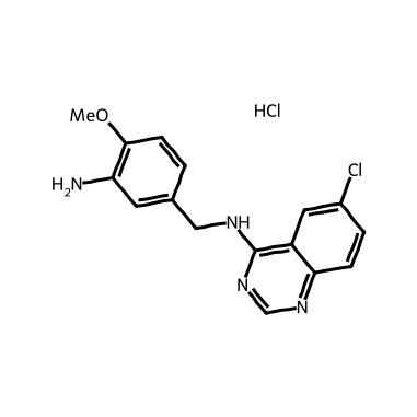 COc1ccc(CNc2ncnc3ccc(Cl)cc23)cc1N.Cl